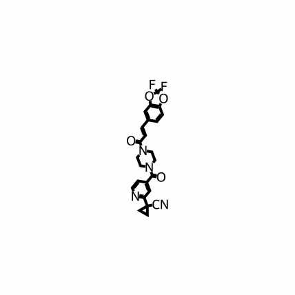 N#CC1(c2cc(C(=O)N3CCN(C(=O)/C=C/c4ccc5c(c4)OC(F)(F)O5)CC3)ccn2)CC1